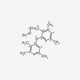 CCOCC.Cc1cc(C)c(C)c(Oc2cc(C)cc(C)c2C)c1